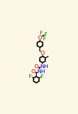 Cc1cc(NC(=O)NC(=O)c2c(F)cccc2F)ccc1OCc1ccc(OC(F)(F)F)cc1